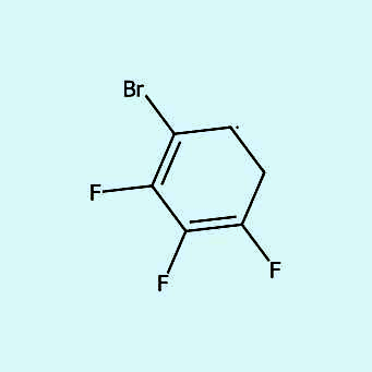 FC1=C(F)C(F)=C(Br)[CH]C1